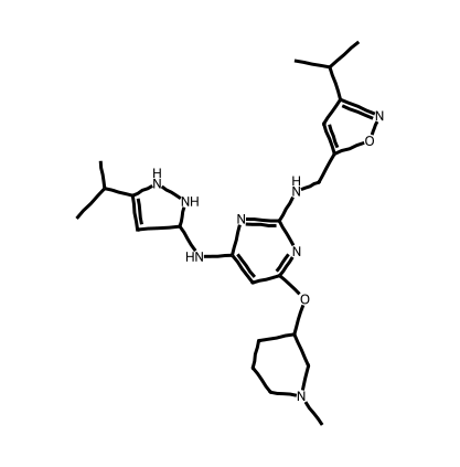 CC(C)C1=CC(Nc2cc(OC3CCCN(C)C3)nc(NCc3cc(C(C)C)no3)n2)NN1